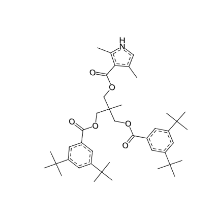 Cc1c[nH]c(C)c1C(=O)OCC(C)(COC(=O)c1cc(C(C)(C)C)cc(C(C)(C)C)c1)COC(=O)c1cc(C(C)(C)C)cc(C(C)(C)C)c1